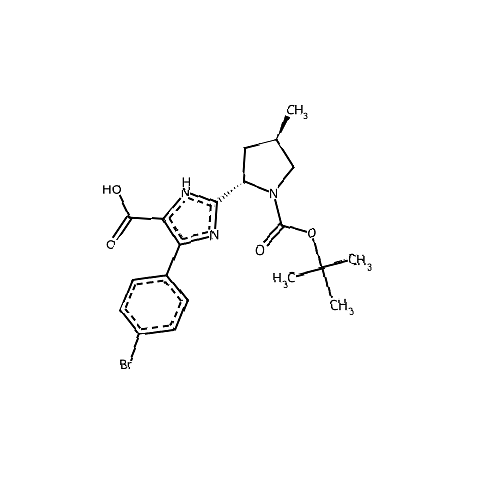 C[C@@H]1C[C@@H](c2nc(-c3ccc(Br)cc3)c(C(=O)O)[nH]2)N(C(=O)OC(C)(C)C)C1